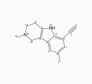 C#Cc1cc(C)cc2c3c([nH]c12)CCN(C)C3